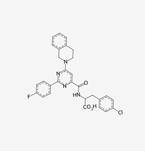 O=C(NC(Cc1ccc(Cl)cc1)C(=O)O)c1cc(N2CCc3ccccc3C2)nc(-c2ccc(F)cc2)n1